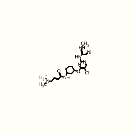 CN/C=C(\C=N)Nc1ncc(Cl)c(OC2CCCC(NC(=O)/C=C/CN(C)C)C2)n1